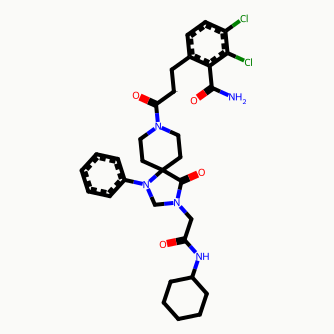 NC(=O)c1c(C[CH]C(=O)N2CCC3(CC2)C(=O)N(CC(=O)NC2CCCCC2)CN3c2ccccc2)ccc(Cl)c1Cl